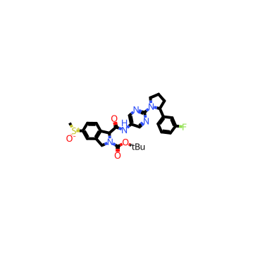 C[S+]([O-])c1ccc2c(c1)CN(C(=O)OC(C)(C)C)C2C(=O)Nc1cnc(N2CCCC2c2cccc(F)c2)nc1